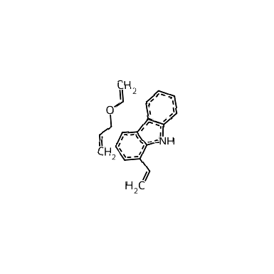 C=CCOC=C.C=Cc1cccc2c1[nH]c1ccccc12